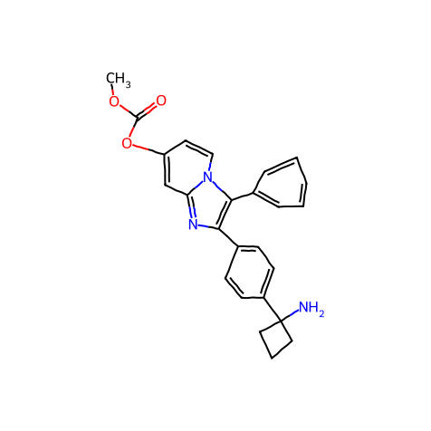 COC(=O)Oc1ccn2c(-c3ccccc3)c(-c3ccc(C4(N)CCC4)cc3)nc2c1